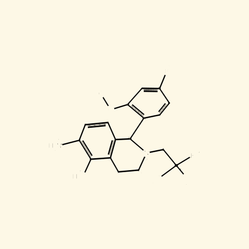 COc1cc(Br)ccc1C1c2ccc(N)c(C)c2CCN1CC(F)(F)F